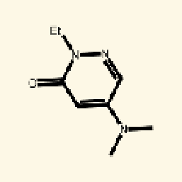 CCn1ncc(N(C)C)cc1=O